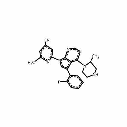 Cc1cc(C#N)cc(-n2cc(-c3ccccc3F)c3c(N4CCNC[C@@H]4C)ncnc32)n1